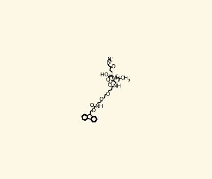 CC(C)C[C@H](NC(=O)CCOCCOCCNC(=O)OCC1c2ccccc2-c2ccccc21)C(=O)N[C@@H](CCC(=O)C=[N+]=[N-])C(=O)O